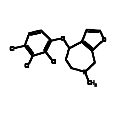 CN1CCC(Oc2ccc(Cl)c(Cl)c2Cl)c2ccoc2C1